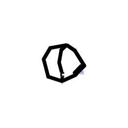 C1=C\[C]2CCCC(C/1)CCC2